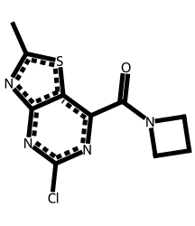 Cc1nc2nc(Cl)nc(C(=O)N3CCC3)c2s1